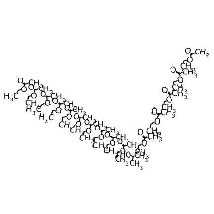 CC(C)O.CCOC(C)=O.CCOC(C)=O.CCOC(C)=O.CCOC(C)=O.CCOC(C)=O.CCOC(C)=O.CCOC(C)=O.CCOC(C)=O.CCOC(C)=O.CCOC(C)=O.CCOC(C)=O.CCOC(C)=O.CCOC(C)=O.CCOC(C)=O.CCOC(C)=O